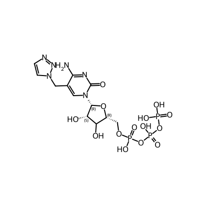 Nc1nc(=O)n([C@@H]2O[C@H](COP(=O)(O)OP(=O)(O)OP(=O)(O)O)C(O)[C@@H]2O)cc1Cn1ccnn1